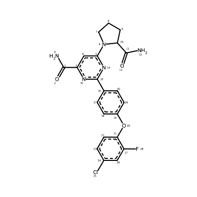 NC(=O)c1cc(N2CCCC2C(N)=O)nc(-c2ccc(Oc3ccc(Cl)cc3F)cc2)n1